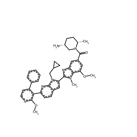 COc1nccc(-c2ccccc2)c1-c1ccc2cc(-c3nc4cc(C(=O)N5C[C@H](N)CC[C@@H]5C)cc(OC)c4n3C)n(CC3CC3)c2n1